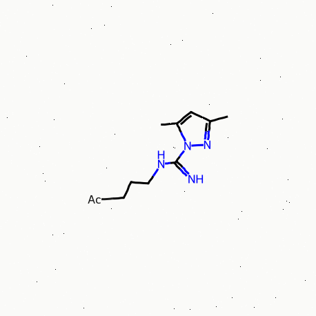 CC(=O)CCCNC(=N)n1nc(C)cc1C